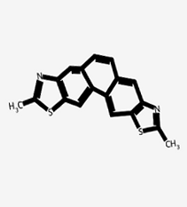 Cc1nc2cc3ccc4cc5nc(C)sc5cc4c3cc2s1